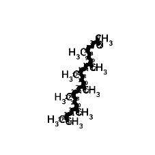 CC(=O)CCC=C(C)CCC=C(C)CCC=C(C)CCC=C(C)CCC=C(C)CCC=C(C)CCC=C(C)C